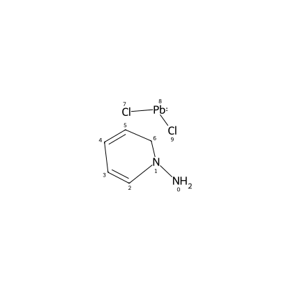 NN1C=CC=CC1.[Cl][Pb][Cl]